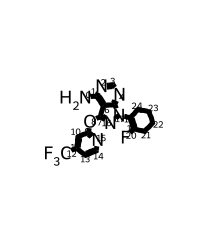 Nc1ncnc2c1c(Oc1cc(C(F)(F)F)ccn1)nn2C1=C(F)CCCC1